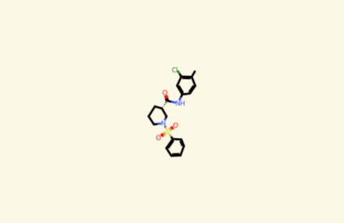 Cc1ccc(NC(=O)[C@H]2CCCN(S(=O)(=O)c3ccccc3)C2)cc1Cl